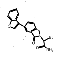 CCC(C(N)=O)N1Cc2ccc(-c3coc4ccccc34)cc2C1=O